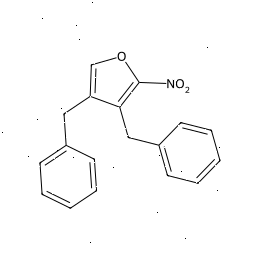 O=[N+]([O-])c1occ(Cc2ccccc2)c1Cc1ccccc1